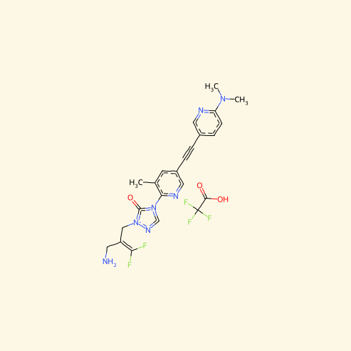 Cc1cc(C#Cc2ccc(N(C)C)nc2)cnc1-n1cnn(CC(CN)=C(F)F)c1=O.O=C(O)C(F)(F)F